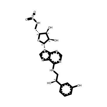 O=[SH](=O)NC[C@H]1O[C@@H](n2cnc3c(NC[C@H](O)c4cccc(O)c4)ncnc32)[C@H](O)[C@@H]1O